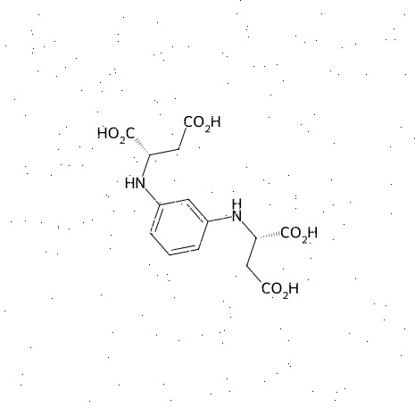 O=C(O)C[C@H](Nc1cccc(N[C@@H](CC(=O)O)C(=O)O)c1)C(=O)O